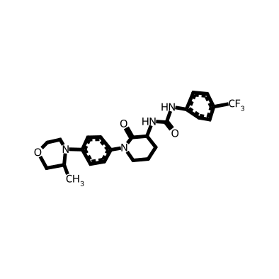 CC1COCCN1c1ccc(N2CCCC(NC(=O)Nc3ccc(C(F)(F)F)cc3)C2=O)cc1